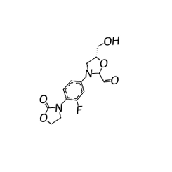 O=CC1O[C@@H](CO)CN1c1ccc(N2CCOC2=O)c(F)c1